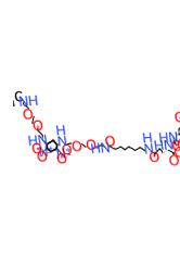 CNCCOCCOCCNc1cc(NCCOCCOCCNC(=O)CCCCCCCNC(=O)CC[C@H](NC(=O)N[C@@H](CCC(=O)O)C(=O)O)C(=O)O)c([N+](=O)[O-])cc1[N+](=O)[O-]